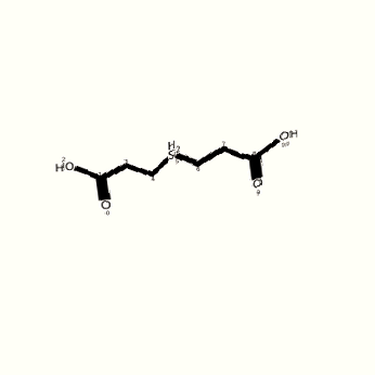 O=C(O)CC[SiH2]CCC(=O)O